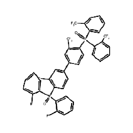 O=P(c1ccccc1F)(c1ccccc1F)c1ccc(-c2ccc(P(=O)(c3ccccc3C(F)(F)F)c3ccccc3C(F)(F)F)c(C(F)(F)F)c2)cc1F